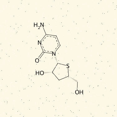 Nc1ccn([C@@H]2S[C@H](CO)C[C@@H]2O)c(=O)n1